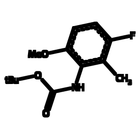 COc1ccc(F)c(C)c1NC(=O)OC(C)(C)C